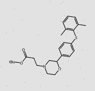 Cc1cccc(C)c1Sc1ccc(C2CN(CCC(=O)OC(C)(C)C)CCO2)cc1